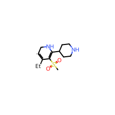 CCC1=[C]CNC(C2CCNCC2)=C1S(C)(=O)=O